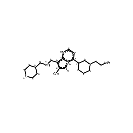 CC(C)CCN1CCCC(c2ccnc3c(CNCC4CCOCC4)c(Cl)nn23)C1